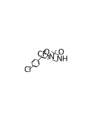 CC1(C)C(=O)NCCN1C(=O)/C=C(/c1ccc(Cl)cc1)C(F)(F)F